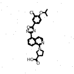 CC(C)Oc1ccc(-c2nc(-c3cccc4c(N5CCC(C(=O)O)C5)nccc34)no2)cc1Cl